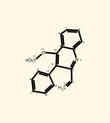 C=Cc1nc2ccccc2c(OCCCCCCCC)c1-c1ccccc1